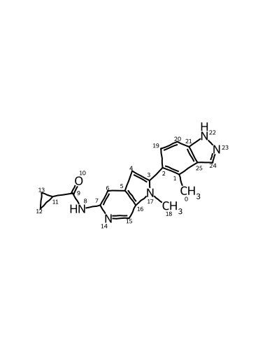 Cc1c(-c2cc3cc(NC(=O)C4CC4)ncc3n2C)ccc2[nH]ncc12